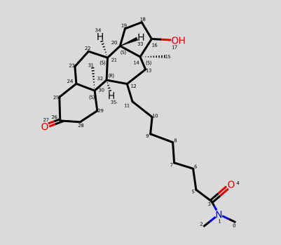 CN(C)C(=O)CCCCCCCC1C[C@]2(C)C(O)CC[C@H]2[C@@H]2CCC3CC(=O)CC[C@]3(C)[C@H]12